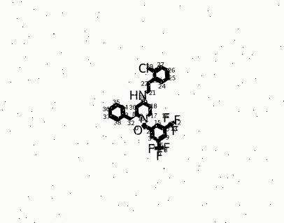 O=C(c1cc(C(F)(F)F)cc(C(F)(F)F)c1)N1CC[C@H](NCCc2ccccc2Cl)C[C@@H]1Cc1ccccc1